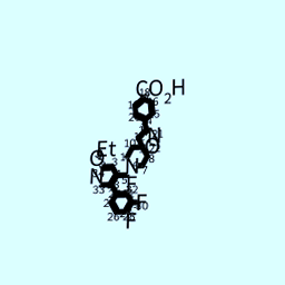 CCOc1cc(CN2CCC3(CC2)CC(c2ccc(C(=O)O)cc2)=NO3)c(-c2ccc(F)c(F)c2F)cn1